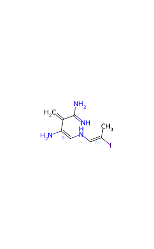 C=C(C(=N)N)/C(N)=C\N/C=C(\C)I